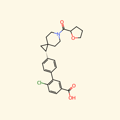 O=C(O)c1ccc(Cl)c(-c2ccc([C@@H]3CC34CCN(C(=O)C3CCCO3)CC4)cc2)c1